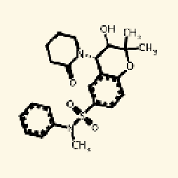 CN(c1ccccc1)S(=O)(=O)c1ccc2c(c1)[C@H](N1CCCCC1=O)[C@@H](O)C(C)(C)O2